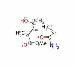 C=CC(N)=O.COC(=O)C(C)=CC(C)O